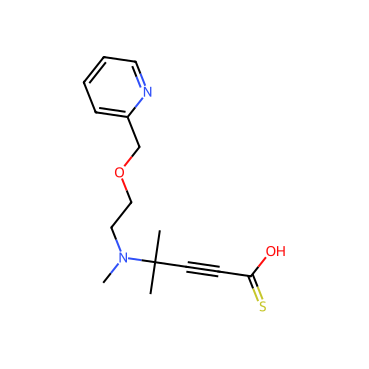 CN(CCOCc1ccccn1)C(C)(C)C#CC(O)=S